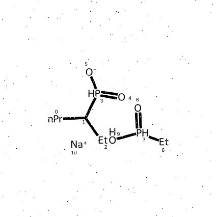 CCCC(CC)[PH](=O)[O-].CC[PH](=O)O.[Na+]